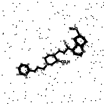 COc1ccc2nccc(C(F)CC[C@@H]3CCN(CCCc4cccnn4)C[C@@H]3C(=O)O)c2c1